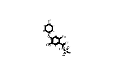 CS(=O)(=O)NC(=O)c1cc(Cl)c(O[C@H]2CC[C@H](C)CC2)cc1F